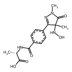 C[C@H](NC(=O)c1ccc(C2=NN(C)C(=O)C2(C)NO)cc1)C(=O)O